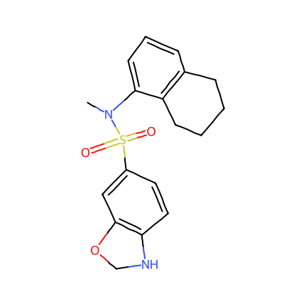 CN(c1cccc2c1CCCC2)S(=O)(=O)c1ccc2c(c1)OCN2